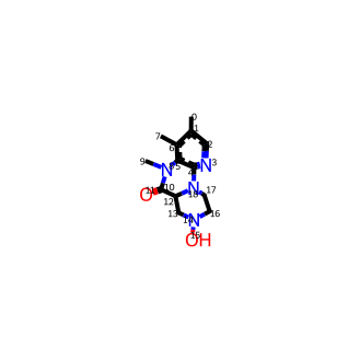 Cc1cnc2c(c1C)N(C)C(=O)C1CN(O)CCN21